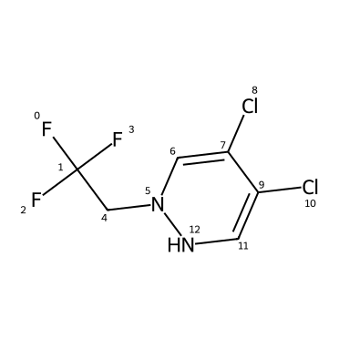 FC(F)(F)CN1C=C(Cl)C(Cl)=CN1